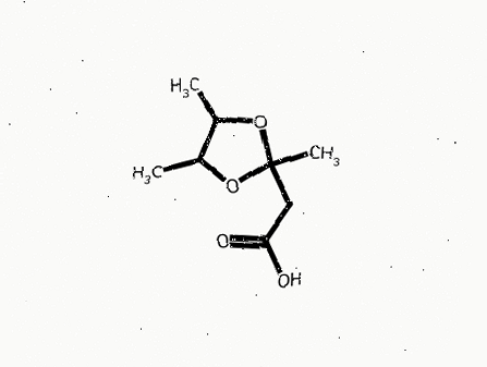 CC1OC(C)(CC(=O)O)OC1C